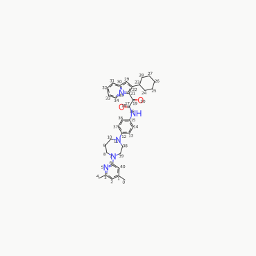 Cc1cc(C)nc(N2CCCN(c3ccc(NC(=O)C(=O)c4c(C5CCCCC5)cc5ccccn45)cc3)CC2)c1